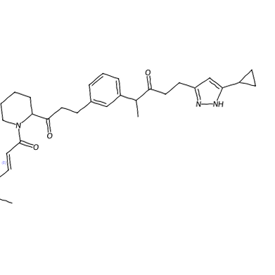 CC(C(=O)CCc1cc(C2CC2)[nH]n1)c1cccc(CCC(=O)C2CCCCN2C(=O)/C=C/CN(C)C)c1